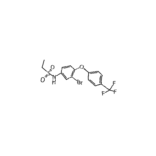 CCS(=O)(=O)Nc1ccc(Oc2ccc(C(F)(F)F)cc2)c(Br)c1